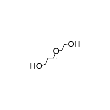 OCC[CH]OCCO